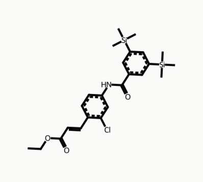 CCOC(=O)C=Cc1ccc(NC(=O)c2cc([Si](C)(C)C)cc([Si](C)(C)C)c2)cc1Cl